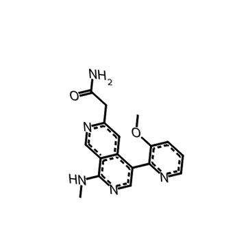 CNc1ncc(-c2ncccc2OC)c2cc(CC(N)=O)ncc12